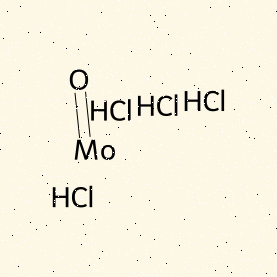 Cl.Cl.Cl.Cl.[O]=[Mo]